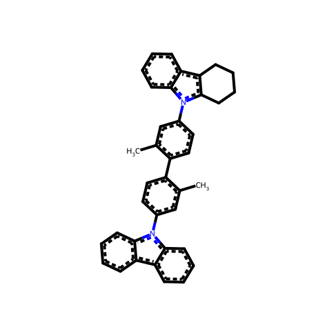 Cc1cc(-n2c3c(c4ccccc42)CCCC3)ccc1-c1ccc(-n2c3ccccc3c3ccccc32)cc1C